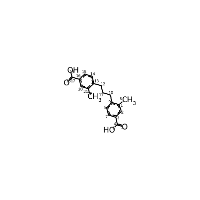 Cc1cc(C(=O)O)ccc1CCCc1ccc(C(=O)O)cc1C